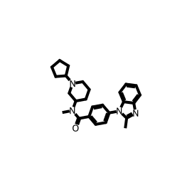 Cc1nc2ccccc2n1-c1ccc(C(=O)N(C)C2CCCN(C3CCCC3)C2)cc1